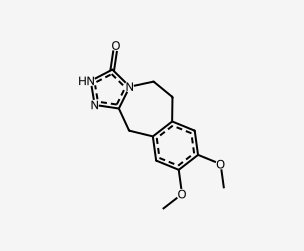 COc1cc2c(cc1OC)Cc1n[nH]c(=O)n1CC2